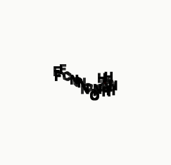 O=C(c1ccc(N2CCN(c3ccc(C(F)(F)F)cc3)CC2)nc1)N1CC2[C@@H](C1)[C@H]1C=C[C@@H]2[C@@H]2C[C@H]12